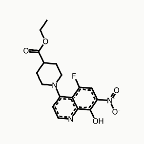 CCOC(=O)C1CCN(c2ccnc3c(O)c([N+](=O)[O-])cc(F)c23)CC1